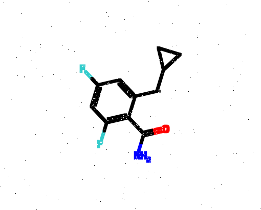 NC(=O)c1c(F)cc(F)cc1[CH]C1CC1